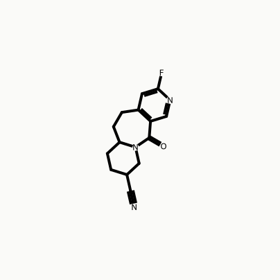 N#CC1CCC2CCc3cc(F)ncc3C(=O)N2C1